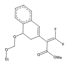 CCOCOC1CC(C(C(=O)OC)=C(F)F)=Cc2ccccc21